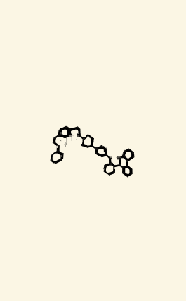 C1=CCCC(C2=Nc3c(ccc4ccc(C5C=CC(c6ccc(C7=NC8c9ccccc9-c9ccccc9C8C8=C7CCC=C8)cc6)=CC5)nc34)CC2)=C1